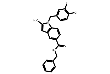 Cc1cc2cc(C(=O)NCc3ccccc3)ccc2n1Cc1ccc(Cl)c(F)c1